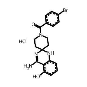 Cl.NC1=NC2(CCN(C(=O)c3ccc(Br)cc3)CC2)Nc2cccc(O)c21